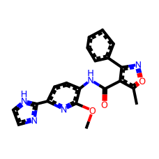 COc1nc(-c2ncc[nH]2)ccc1NC(=O)c1c(-c2ccccc2)noc1C